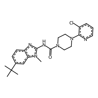 Cn1c(NC(=O)N2CCN(c3ncccc3Cl)CC2)nc2ccc(C(C)(C)C)cc21